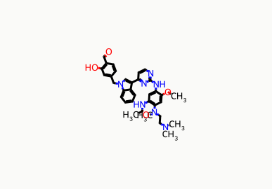 COc1cc(N(C)CCN(C)C)c(NC(C)=O)cc1Nc1nccc(-c2cn(Cc3ccc(C=O)c(O)c3)c3ccccc23)n1